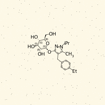 CCc1ccc(Cc2c(O[C@@H]3O[C@H](CO)[C@@H](O)[C@H](O)[C@H]3O)nn(C(C)C)c2C)cc1